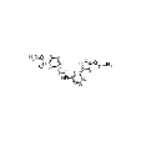 CCOc1csc(-c2cc(NCCc3cccc(C(=O)OC)c3)ncn2)c1